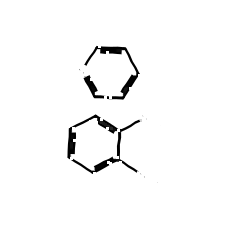 O=[N+]([O-])c1ccccc1[N+](=O)[O-].c1ccncc1